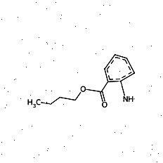 CCCCOC(=O)c1ccccc1[NH]